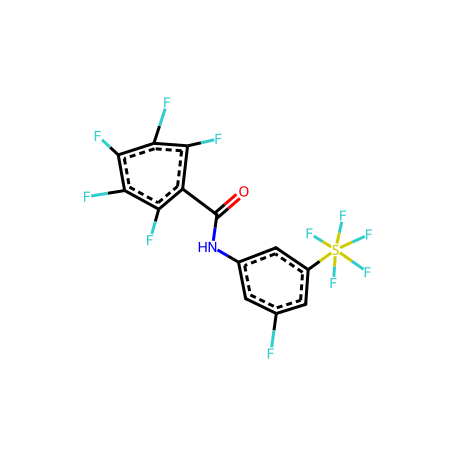 O=C(Nc1cc(F)cc(S(F)(F)(F)(F)F)c1)c1c(F)c(F)c(F)c(F)c1F